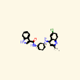 O=C(N[C@@H]1CCC[C@H](Nc2cc(C(F)(F)F)nc3ccc(Cl)cc23)C1)c1c[nH]c2ccccc12